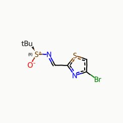 CC(C)(C)[S@+]([O-])N=Cc1nc(Br)cs1